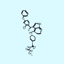 CS(=O)(=O)NC(=O)[C@H]1CC[C@H](Nc2ccnc3[nH]cc(C(=O)c4ccc(Oc5ccccc5)cc4Cl)c23)CC1